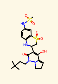 CC(C)(C)CCN1C(=O)C(C2CS(=O)(=O)c3cc(NS(C)(=O)=O)ccc3N2)=C(O)C2=CCCN21